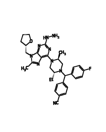 CC[C@@H]1CN(c2nc(NN)nc3c2nc(C)n3C[C@@H]2CCCO2)[C@@H](C)CN1C(c1ccc(F)cc1)c1ccc(C#N)cc1